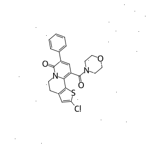 O=C(c1cc(-c2ccccc2)c(=O)n2c1-c1sc(Cl)cc1CC2)N1CCOCC1